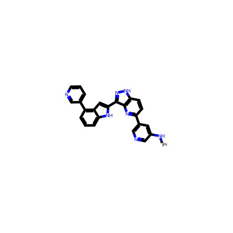 CC(C)Nc1cncc(-c2ccc3[nH]nc(-c4cc5c(-c6cccnc6)cccc5[nH]4)c3n2)c1